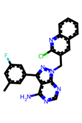 Cc1cc(F)cc(-c2nn(Cc3cc4ccccc4nc3Cl)c3ncnc(N)c23)c1